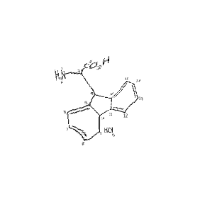 Cl.NC(C(=O)O)C1c2ccccc2-c2ccccc21